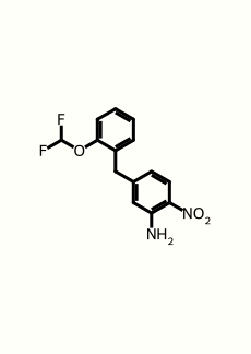 Nc1cc(Cc2ccccc2OC(F)F)ccc1[N+](=O)[O-]